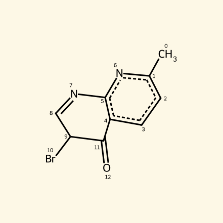 Cc1ccc2c(n1)N=CC(Br)C2=O